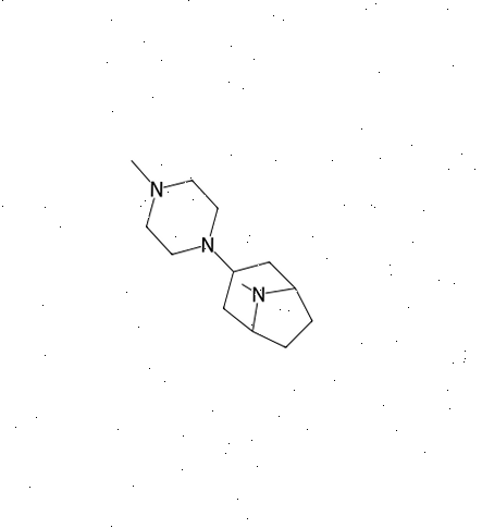 CN1CCN(C2CC3CCC(C2)N3C)CC1